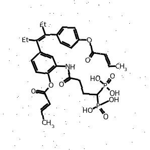 CC=CC(=O)Oc1ccc(C(CC)=C(CC)c2ccc(OC(=O)C=CC)c(NC(=O)CCC(P(=O)(O)O)P(=O)(O)O)c2)cc1